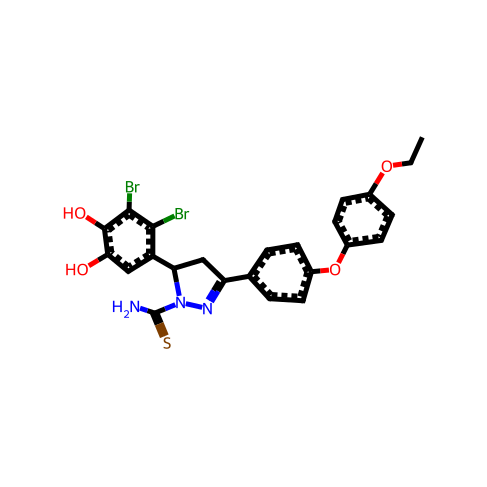 CCOc1ccc(Oc2ccc(C3=NN(C(N)=S)C(c4cc(O)c(O)c(Br)c4Br)C3)cc2)cc1